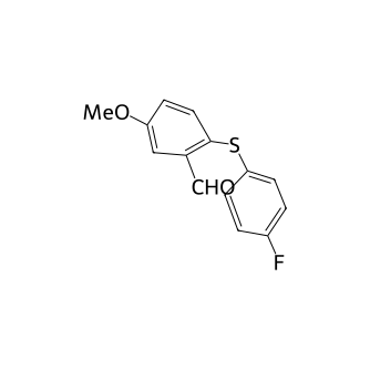 COc1ccc(Sc2ccc(F)cc2)c(C=O)c1